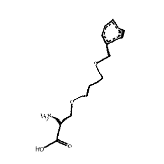 NC(COCCCOCc1ccccc1)C(=O)O